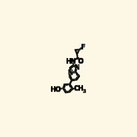 Cc1ccc(O)cc1-c1ccc2nc(NC(=O)C3CC3F)cn2c1